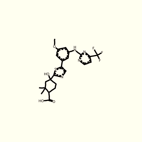 COc1cc(Nc2nccc(C(F)(F)F)n2)cc(-c2cnc(C3(O)CCC(C(=O)O)C(C)(C)C3)s2)c1